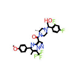 COc1ccc(-c2nc3c(C(=O)N4CCN(C(CO)c5ccc(F)cc5F)C[C@H]4C)cnn3c(C(F)(F)F)c2C)cc1